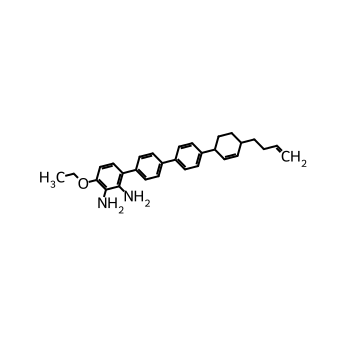 C=CCCC1C=CC(c2ccc(-c3ccc(-c4ccc(OCC)c(N)c4N)cc3)cc2)CC1